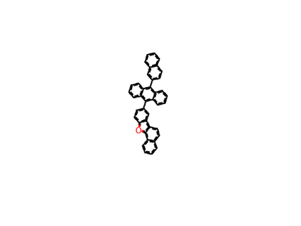 c1ccc2cc(-c3c4ccccc4c(-c4ccc5oc6c7ccccc7ccc6c5c4)c4ccccc34)ccc2c1